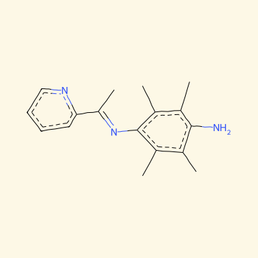 CC(=Nc1c(C)c(C)c(N)c(C)c1C)c1ccccn1